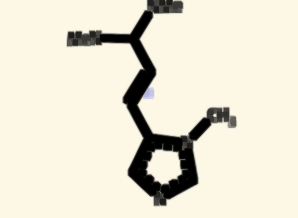 CNC(/C=C/c1cncn1C)NC